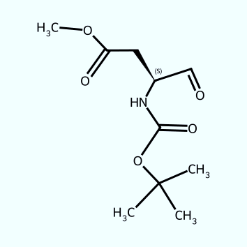 COC(=O)C[C@@H](C=O)NC(=O)OC(C)(C)C